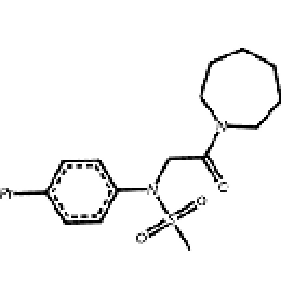 CC(C)c1ccc(N(CC(=O)N2CCCCCC2)S(C)(=O)=O)cc1